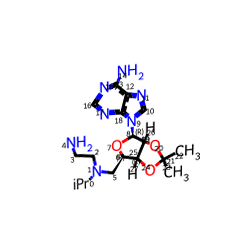 CC(C)N(CCN)C[C@H]1O[C@@H](n2cnc3c(N)ncnc32)[C@@H]2OC(C)(C)O[C@@H]21